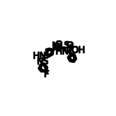 O=C(O)[C@@H](NC(=S)c1cc(-c2ccc(Nc3nc4ccc(F)cc4s3)cc2)no1)c1ccccc1